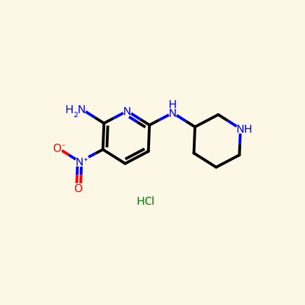 Cl.Nc1nc(NC2CCCNC2)ccc1[N+](=O)[O-]